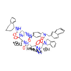 CN[C@@H](C)C(=O)NC(C(=O)N1C[C@@H](NC(=O)c2ccc(CN(CCc3ccc4ccccc4c3)C(=O)[C@@H]3Cc4ccccc4CN3C(=O)[C@@H](NC(=O)[C@H](C)NC)C(C)(C)C)cc2)C[C@H]1C(=O)N[C@@H]1CCCc2ccccc21)C(C)(C)C